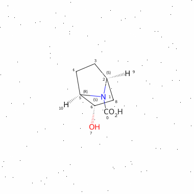 O=C(O)N1[C@H]2CC[C@@H]1[C@@H](O)C2